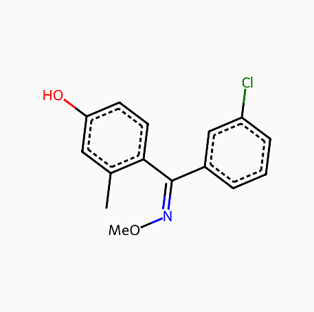 CON=C(c1cccc(Cl)c1)c1ccc(O)cc1C